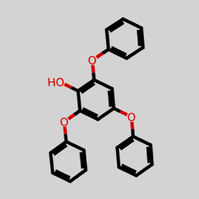 Oc1c(Oc2ccccc2)cc(Oc2ccccc2)cc1Oc1ccccc1